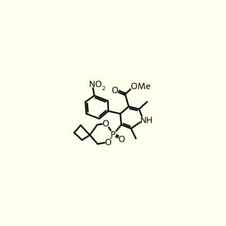 COC(=O)C1=C(C)NC(C)=C(P2(=O)OCC3(CCC3)CO2)C1c1cccc([N+](=O)[O-])c1